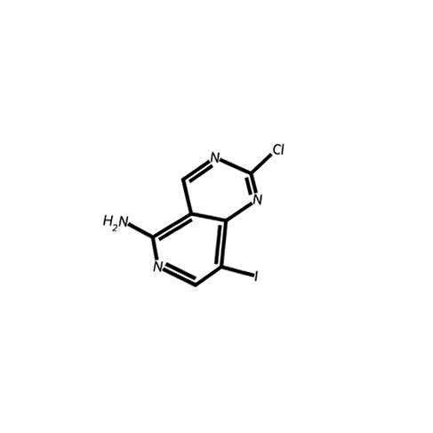 Nc1ncc(I)c2nc(Cl)ncc12